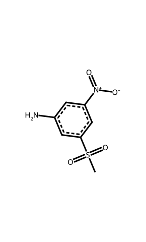 CS(=O)(=O)c1cc(N)cc([N+](=O)[O-])c1